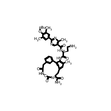 CCCCOc1c(C)cc(-c2ncc(C(=O)N[C@@H](CCN)C(=O)Nc3c(C)cc4cc3-c3cccc(c3)CC(=O)NCC(=O)NC(C(N)=O)C4)c(C)n2)cc1C